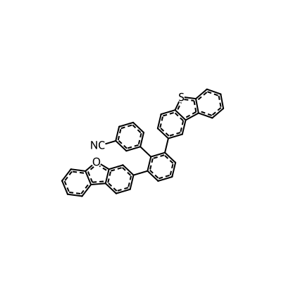 N#Cc1cccc(-c2c(-c3ccc4c(c3)oc3ccccc34)cccc2-c2ccc3sc4ccccc4c3c2)c1